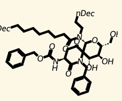 CCCCCCCCCCCCCCCCCC(=O)N(CCCCCCCCCCCC)[C@@H]1O[C@H](CO)[C@@H](O)[C@H](O)C12C(=O)C[C@H](NC(=O)OCc1ccccc1)C(=O)N2Cc1ccccc1